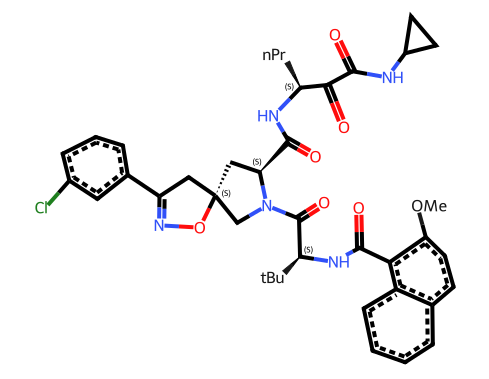 CCC[C@H](NC(=O)[C@@H]1C[C@]2(CC(c3cccc(Cl)c3)=NO2)CN1C(=O)[C@@H](NC(=O)c1c(OC)ccc2ccccc12)C(C)(C)C)C(=O)C(=O)NC1CC1